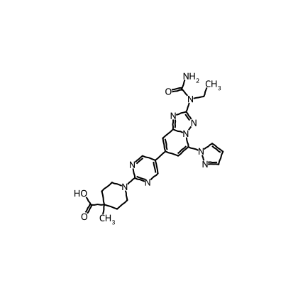 CCN(C(N)=O)c1nc2cc(-c3cnc(N4CCC(C)(C(=O)O)CC4)nc3)cc(-n3cccn3)n2n1